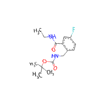 CCNC(=O)c1cc(F)ccc1CNC(=O)OC(C)(C)C